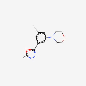 Cc1nnc(-c2cc(N3CCOCC3)cc([N+](=O)[O-])c2)o1